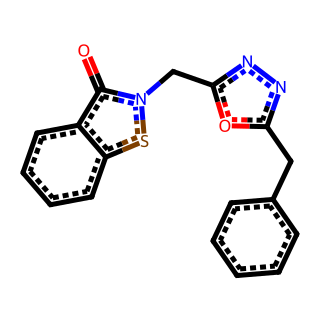 O=c1c2ccccc2sn1Cc1nnc(Cc2ccccc2)o1